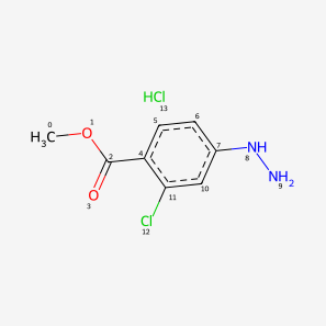 COC(=O)c1ccc(NN)cc1Cl.Cl